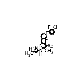 CC(=O)c1c(C)c(Nc2cc(C)[nH]n2)nc(CC2CCN(Cc3cccc(Cl)c3F)CC2)c1F